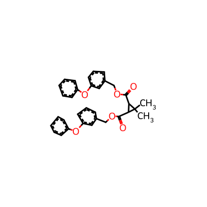 CC1(C)C(C(=O)OCc2cccc(Oc3ccccc3)c2)C1C(=O)OCc1cccc(Oc2ccccc2)c1